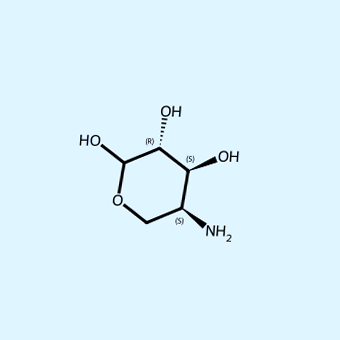 N[C@H]1COC(O)[C@H](O)[C@H]1O